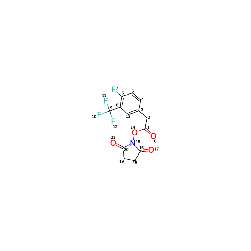 O=C(Cc1ccc(F)c(C(F)(F)F)c1)ON1C(=O)CCC1=O